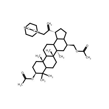 C=C(C[N+]12CCN(CC1)CC2)[C@@H]1CCC2C1C1CCC3[C@@]4(C)CC[C@H](OC(C)=O)C(C)(C)C4CC[C@@]3(C)[C@]1(C)C[C@@H]2COC(C)=O